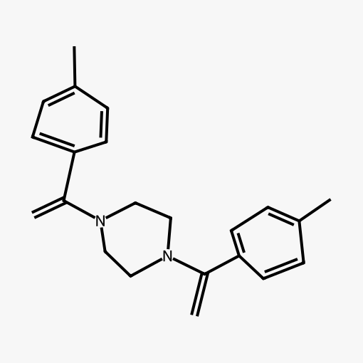 C=C(c1ccc(C)cc1)N1CCN(C(=C)c2ccc(C)cc2)CC1